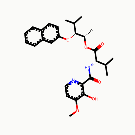 COc1ccnc(C(=O)N[C@H](C(=O)O[C@@H](C)[C@H](Oc2ccc3ccccc3c2)C(C)C)C(C)C)c1O